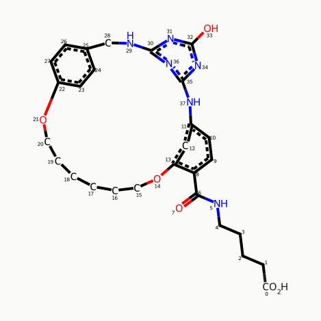 O=C(O)CCCCNC(=O)c1ccc2cc1OCCCCCCOc1ccc(cc1)CNc1nc(O)nc(n1)N2